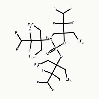 O=P(OC(CC(F)(F)F)(CC(F)(F)F)C(F)(F)C(F)F)(OC(CC(F)(F)F)(CC(F)(F)F)C(F)(F)C(F)F)OC(CC(F)(F)F)(CC(F)(F)F)C(F)(F)C(F)F